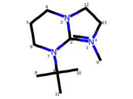 C[N+]1=C2N(CCCN2C(C)(C)C)CC1